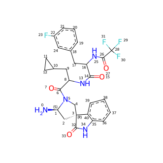 N[C@@H]1C[C@@]2(CN1C(=O)C(CC1CC1)NC(=O)C(Cc1cccc(F)c1)NC(=O)C(F)(F)F)C(=O)Nc1ccccc12